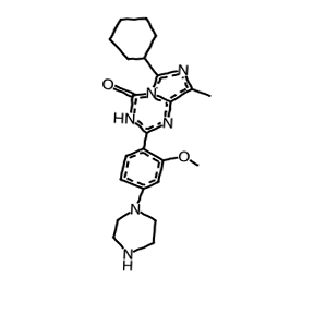 COc1cc(N2CCNCC2)ccc1-c1nc2c(C)nc(C3CCCCC3)n2c(=O)[nH]1